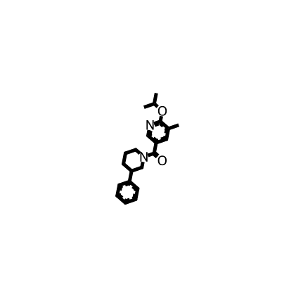 Cc1cc(C(=O)N2CCCC(c3ccccc3)C2)cnc1OC(C)C